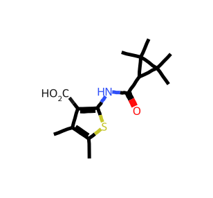 Cc1sc(NC(=O)C2C(C)(C)C2(C)C)c(C(=O)O)c1C